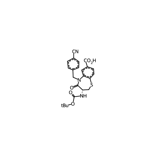 CC(C)(C)OC(=O)N[C@H]1CSc2ccc(C(=O)O)cc2N(Cc2ccc(C#N)cc2)C1=O